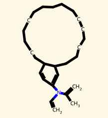 C=CN(C(=C)C)C1=CC2CCCCCCCCCCCCCCCCC2C=C1